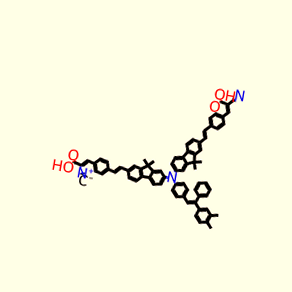 [C-]#[N+]/C(=C\c1ccc(/C=C/c2ccc3c(c2)C(C)(C)c2cc(N(c4ccc(/C=C(\c5ccccc5)c5ccc(C)c(C)c5)cc4)c4ccc5c(c4)C(C)(C)c4cc(/C=C/c6ccc(/C=C(/C#N)C(=O)O)cc6)ccc4-5)ccc2-3)cc1)C(=O)O